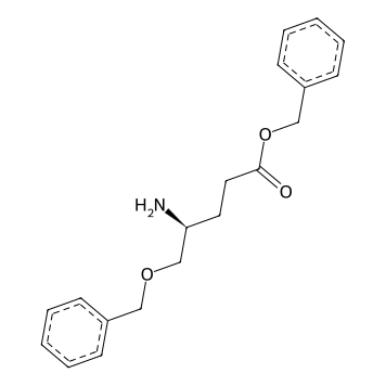 N[C@@H](CCC(=O)OCc1ccccc1)COCc1ccccc1